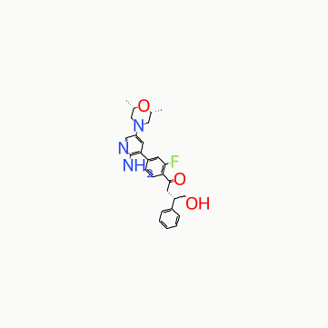 C[C@@H]1CN(c2cnc(N)c(-c3ccc(C(=O)C[C@H](CO)c4ccccc4)c(F)c3)c2)C[C@H](C)O1